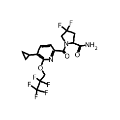 NC(=O)C1CC(F)(F)CN1C(=O)c1ccc(C2CC2)c(OCC(F)(F)C(F)(F)F)n1